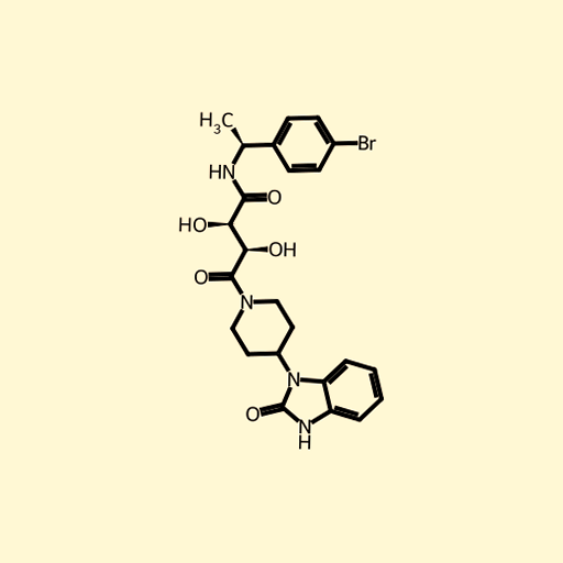 C[C@H](NC(=O)[C@H](O)[C@@H](O)C(=O)N1CCC(n2c(=O)[nH]c3ccccc32)CC1)c1ccc(Br)cc1